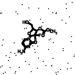 COC(=O)O[C@@H]1C(CO)OC(n2ccc(N)nc2=O)C1(F)F